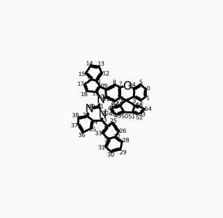 c1ccc2c(c1)Oc1cc3c4c5ccccc5ccc4n(-c4nc(-c5ccc6ccccc6c5)c5ccccc5n4)c3cc1C21c2ccccc2-c2ccccc21